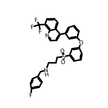 O=S(=O)(CCCNCc1ccc(F)cc1)c1cccc(Oc2cccc(-c3ccnc4c(C(F)(F)F)cccc34)c2)c1